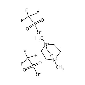 C[N+]12CC[N+](C)(CC1)CC2.O=S(=O)([O-])C(F)(F)F.O=S(=O)([O-])C(F)(F)F